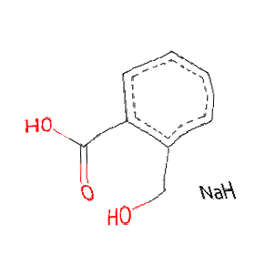 O=C(O)c1ccccc1CO.[NaH]